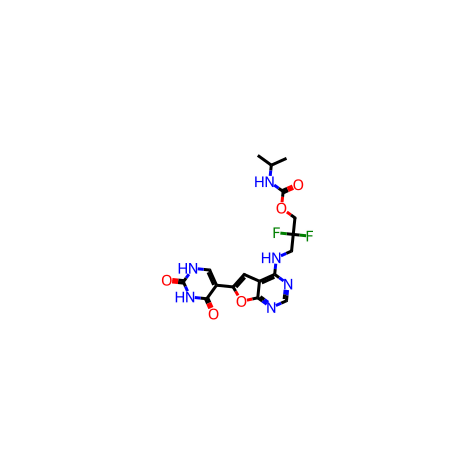 CC(C)NC(=O)OCC(F)(F)CNc1ncnc2oc(-c3c[nH]c(=O)[nH]c3=O)cc12